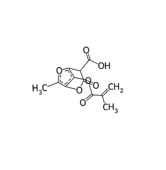 C=C(C)C(=O)Oc1c2oc(C)c1OC(=O)C2C(=O)O